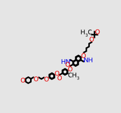 CCC1(COCCCCCCOc2ccc3c(C=N)c(C(=O)Oc4ccc(C(=O)Oc5ccc(OCCCOCC6CCC7OC7C6)cc5)cc4C)ccc3c2C=N)COC1